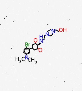 CN(C)c1ccc(Br)c(C2CC(=O)C(=CNCCN3CCN(CCO)CC3)C(=O)C2)c1